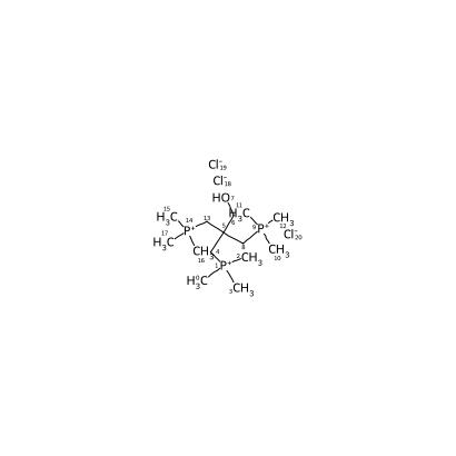 C[P+](C)(C)CC(CO)(C[P+](C)(C)C)C[P+](C)(C)C.[Cl-].[Cl-].[Cl-]